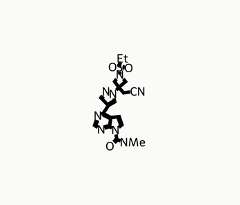 CCS(=O)(=O)N1CC(CC#N)(n2cc(-c3ncnc4c3ccn4C(=O)NC)cn2)C1